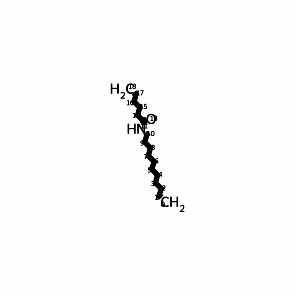 C=CCCCCCCCCCNC(=O)CCCC=C